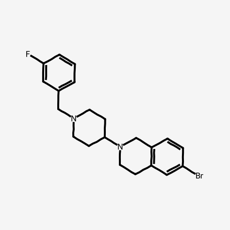 Fc1cccc(CN2CCC(N3CCc4cc(Br)ccc4C3)CC2)c1